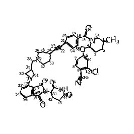 CC1CCC(Oc2ccc(C#N)c(Cl)c2)N(C(=O)c2ccc(C#CC3CCN(CC4CN(c5cccc6c5C(=O)N(C5CCC(=O)NC5=O)C6=O)C4)CC3)cc2)C1